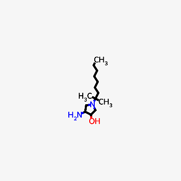 CCCCCCCC(C)(C)N1CC(N)C(O)C1